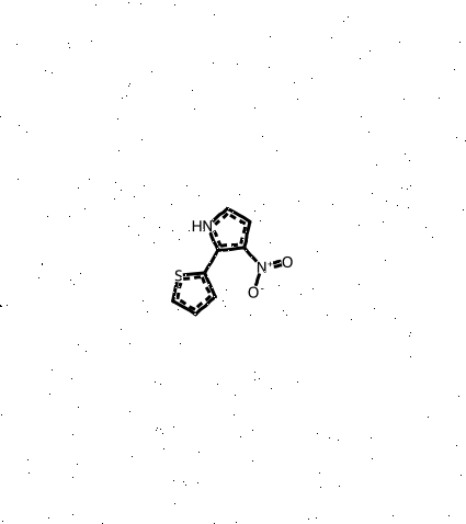 O=[N+]([O-])c1cc[nH]c1-c1cccs1